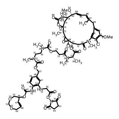 COc1cc2cc(c1Cl)N(C)C(=O)C[C@H](OC(=O)[C@H](C)N(C)C(=O)CCOC(=O)N(C)CCN(C)C(=O)OCc1ccc(NC(=O)OC3/C=C/COCOC3)c(NCC(=O)ON3C(=O)CCC3=O)c1)[C@]1(C)OC1[C@H](C)[C@@H]1C[C@@](O)(NC(=O)O1)[C@H](OC)/C=C/C=C(\C)C2